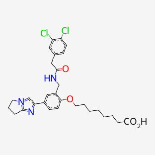 O=C(O)CCCCCCCOc1ccc(-c2cn3c(n2)CCC3)cc1CNC(=O)Cc1ccc(Cl)c(Cl)c1